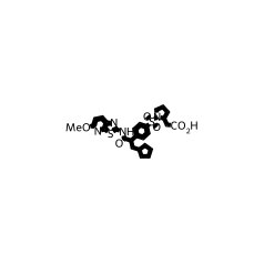 COc1ccc2nc(NC(=O)C(CC3CCCC3)c3ccc(S(=O)(=O)N4CCCC4CC(=O)O)cc3)sc2n1